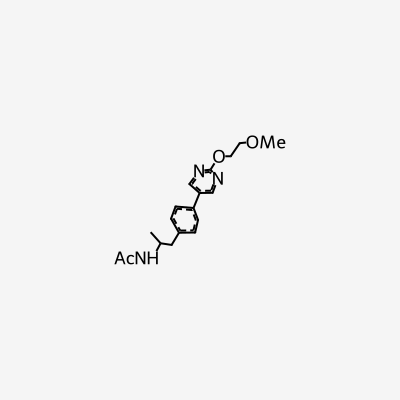 COCCOc1ncc(-c2ccc(CC(C)NC(C)=O)cc2)cn1